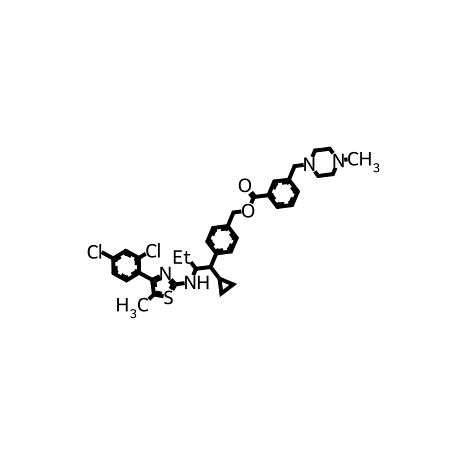 CCC(Nc1nc(-c2ccc(Cl)cc2Cl)c(C)s1)C(c1ccc(COC(=O)c2cccc(CN3CCN(C)CC3)c2)cc1)C1CC1